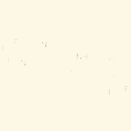 CN(c1cc(C(F)(F)F)nc2ccc(Cl)cc12)[C@H]1CC[C@@H](NC(=O)c2ccc(OC(F)F)c(OCC3CC3)c2)CC1